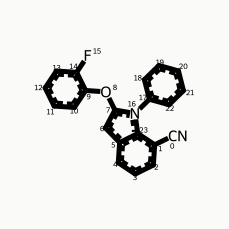 N#Cc1cccc2cc(Oc3ccccc3F)n(-c3ccccc3)c12